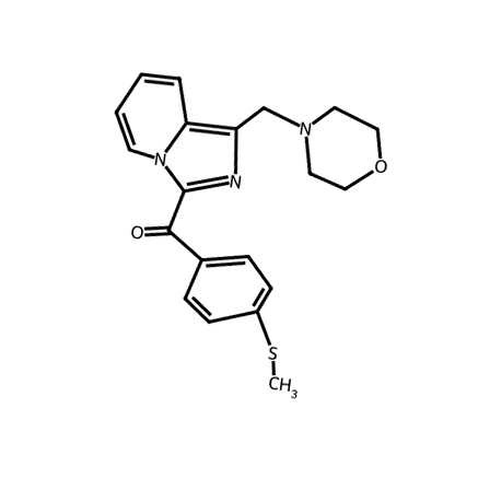 CSc1ccc(C(=O)c2nc(CN3CCOCC3)c3ccccn23)cc1